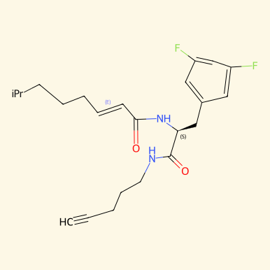 C#CCCCNC(=O)[C@H](Cc1cc(F)cc(F)c1)NC(=O)/C=C/CCCC(C)C